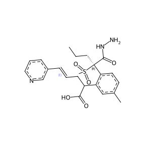 CCC[C@](C(=O)NN)(c1ccc(C)cc1C(C/C=C/c1cccnc1)C(=O)O)S(C)(=O)=O